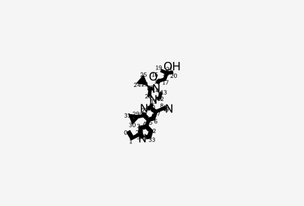 C=Cc1cc(-c2cc(C#N)c(N3CCN(C(=O)CC(C)(C)O)[C@H](C4CC4)C3)nc2C2CC2)ccn1